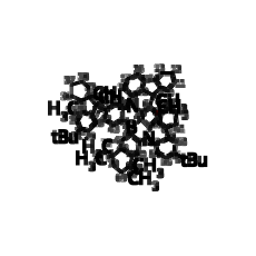 Cc1cc2c3c4c1C1(C)c5ccccc5-c5cccc(c51)N4c1cc(C4(C)c5ccc(C(C)(C)C)cc5C5(C)CCCCC54C)ccc1B3c1cc3c(cc1N2c1ccc(C(C)(C)C)cc1-c1ccccc1)C(C)(C)CCC3(C)C